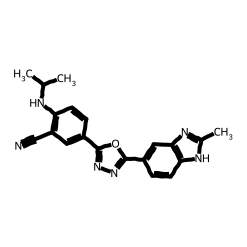 Cc1nc2cc(-c3nnc(-c4ccc(NC(C)C)c(C#N)c4)o3)ccc2[nH]1